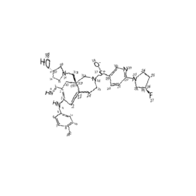 N=CC1=C(Nc2ccc(F)cc2)C=C2CCN([S+]([O-])c3ccc(N4CC[C@@H](F)C4)nc3)C[C@@]2(CN2CC[C@H](O)C2)C1